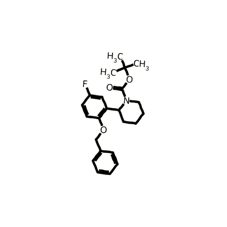 CC(C)(C)OC(=O)N1CCCCC1c1cc(F)ccc1OCc1ccccc1